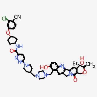 C=C1OCc2c(cc3n(c2=O)Cc2cc4c(CN5CCN(CC6CCN(c7ccc(C(=O)N[C@H]8CC[C@H](Oc9ccc(C#N)c(Cl)c9)CC8)nn7)CC6)CC5)c(O)ccc4nc2-3)[C@@]1(O)CC